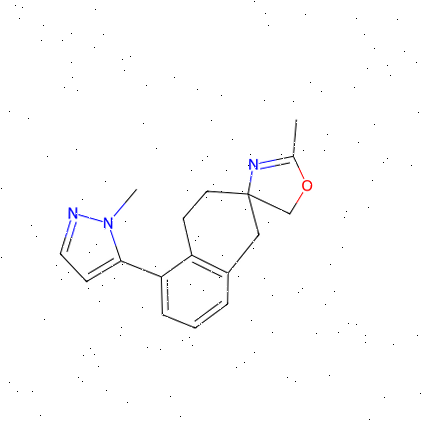 CC1=NC2(CCc3c(cccc3-c3ccnn3C)C2)CO1